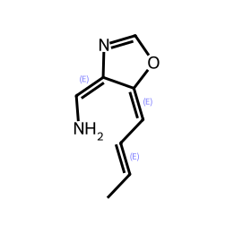 C/C=C/C=c1/ocn/c1=C/N